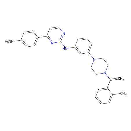 C=C(c1ccccc1C)N1CCN(c2cccc(Nc3nccc(-c4ccc(NC(C)=O)cc4)n3)c2)CC1